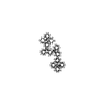 c1ccc([Si](c2ccccc2)(c2ccccc2)c2ccc(-n3c4ccccc4c4ccc(-n5c6ccccc6c6ccc(-c7ccc8c(c7)-c7ccccc7[Si]8(c7ccccc7)c7ccccc7)cc65)cc43)cc2)cc1